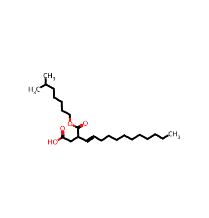 CCCCCCCCCCC=CC(CC(=O)O)C(=O)OCCCCCC(C)C